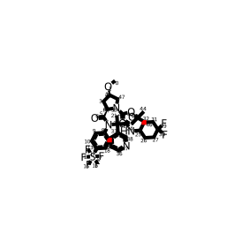 CO[C@@H]1C[C@H](C(=O)N(c2ccc(S(F)(F)(F)(F)F)cc2)C(C)(C(=O)NC2CCC(F)(F)CC2)c2cccnc2)N(C(=O)OC(C)(C)C)C1